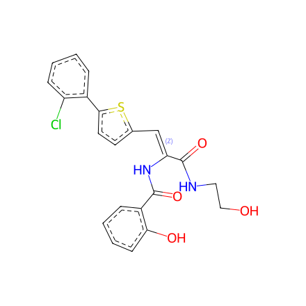 O=C(NCCO)/C(=C/c1ccc(-c2ccccc2Cl)s1)NC(=O)c1ccccc1O